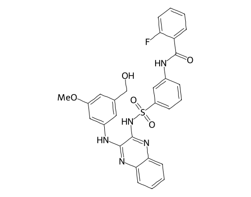 COc1cc(CO)cc(Nc2nc3ccccc3nc2NS(=O)(=O)c2cccc(NC(=O)c3ccccc3F)c2)c1